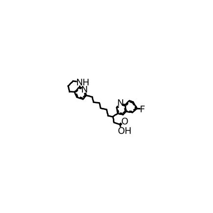 O=C(O)CC(CCCCCCc1ccc2c(n1)NCCC2)c1cnc2ccc(F)cc2c1